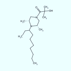 CCCCCCCC(CC)N1[C@H](C)CN(C(=O)C(C)(C)O)C[C@@H]1C